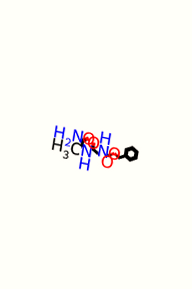 CC(NC(=O)CNC(=O)OCc1ccccc1)C(N)=O